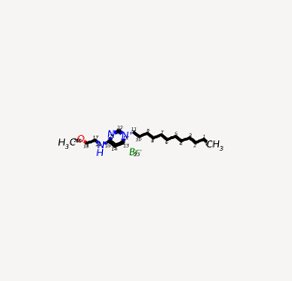 CCCCCCCCCCCC[n+]1ccc(NCCOC)nc1.[Br-]